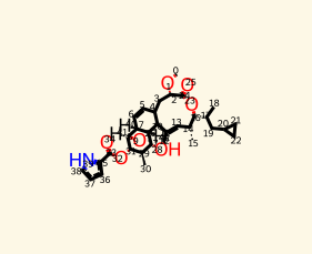 CO[C@H]1CC2C=C[C@H]3[C@H]4O[C@]2(/C(C)=C/[C@@H](C)[C@@H](C(C)CC2CC2)OC1=O)[C@@H]3[C@H](O)[C@@H](C)[C@H]4OC(=O)c1ccc[nH]1